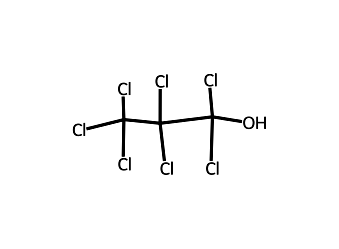 OC(Cl)(Cl)C(Cl)(Cl)C(Cl)(Cl)Cl